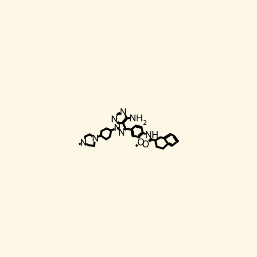 COc1cc(-c2nn(C3CCC(N4CCN(C)CC4)CC3)c3ncnc(N)c23)ccc1NC(=O)C1CCc2ccccc2C1